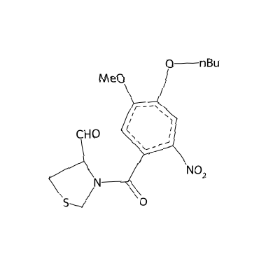 CCCCOc1cc([N+](=O)[O-])c(C(=O)N2CSCC2C=O)cc1OC